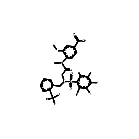 COc1cc(C(=O)O)ccc1N(C)C(=O)CN(Cc1ccccc1C(F)(F)F)S(=O)(=O)c1c(F)c(F)c(F)c(F)c1F